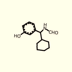 O=CNC(c1cccc(O)c1)C1CCCCC1